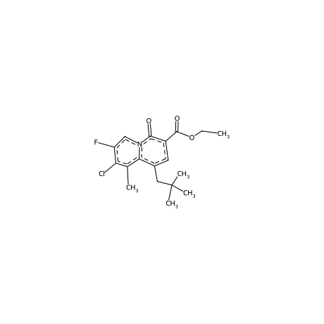 CCOC(=O)c1cc(CC(C)(C)C)c2c(C)c(Cl)c(F)cn2c1=O